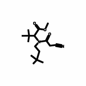 COC(=O)C(N(CCC(C)(C)C)C(=O)CC#N)C(C)(C)C